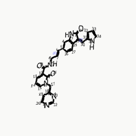 O=C1Nc2cc(/C=C/CNC(=O)c3cccn(Cc4ccncn4)c3=O)ccc2/C1=C/c1ccc[nH]1